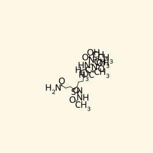 CC(=O)Nc1nc(CCc2ccc(NC(N(C(=O)O)C(C)(C)C)N(C(=O)O)C(C)(C)C)cc2)c(CCC(N)=O)s1